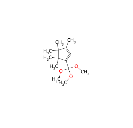 C[O][Ti]([O]C)([O]C)[C]1=C=C(C)C(C)(C)C1(C)C